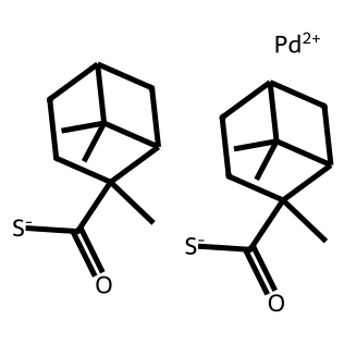 CC1(C(=O)[S-])CCC2CC1C2(C)C.CC1(C(=O)[S-])CCC2CC1C2(C)C.[Pd+2]